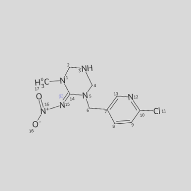 CN1CNCN(Cc2ccc(Cl)nc2)/C1=N/[N+](=O)[O-]